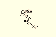 C[C@H](OC(=O)C[C@H](O)C(=O)OC1=CC[C@@]2(O)[C@@H]3CCC[C@@]24c2c(ccc(O)c2O[C@@H]14)C3)C(=O)O